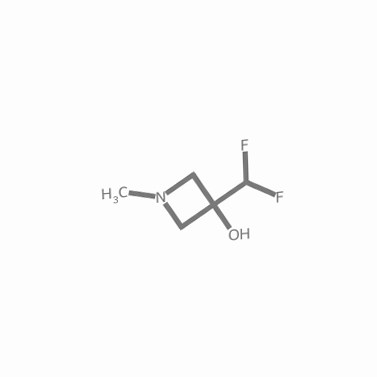 CN1CC(O)(C(F)F)C1